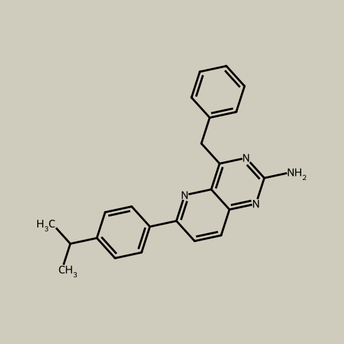 CC(C)c1ccc(-c2ccc3nc(N)nc(Cc4ccccc4)c3n2)cc1